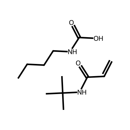 C=CC(=O)NC(C)(C)C.CCCCNC(=O)O